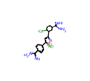 Cl.Cl.N=C(N)c1ccc(-c2cc(-c3cc(C(=N)N)ccc3Cl)no2)cc1